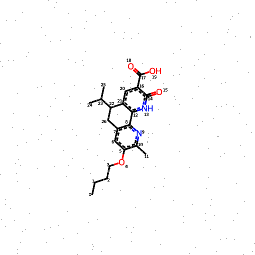 CCCCOc1cc2c(nc1C)-c1[nH]c(=O)c(C(=O)O)cc1C(C(C)C)C2